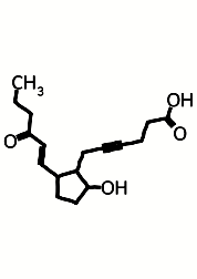 CCCC(=O)/C=C/C1CCC(O)C1CC#CCCC(=O)O